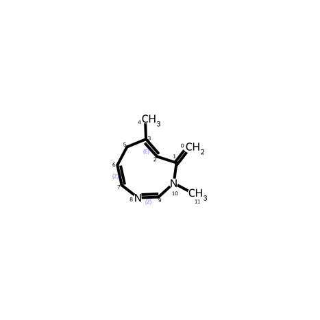 C=C1/C=C(\C)C/C=C\N=C/N1C